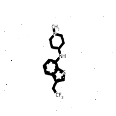 CN1CCC(Nc2cccc3c(CC(F)(F)F)csc23)CC1